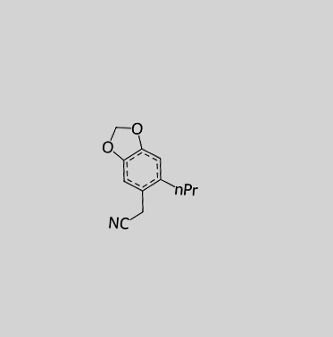 CCCc1cc2c(cc1CC#N)OCO2